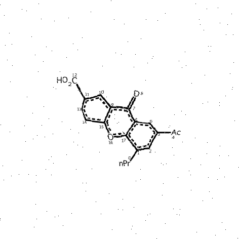 CCCc1cc(C(C)=O)cc2c(=O)c3cc(C(=O)O)ccc3oc12